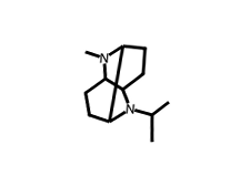 CC(C)N1C2CCC3C1CCC2N3C